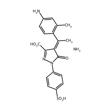 CC(=C1C(=O)N(c2ccc(S(=O)(=O)O)cc2)N=C1C(=O)O)c1ccc(N)cc1C.N